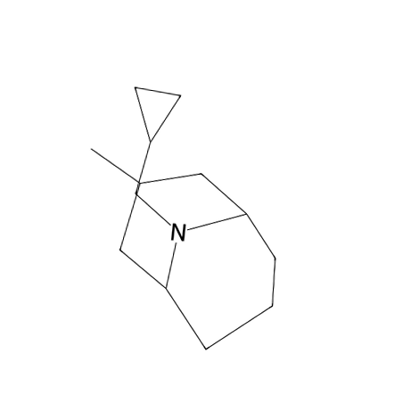 CC1CC2CCCC(C1)N2CC1CC1